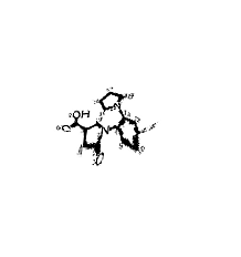 O=C(O)C1CC(=O)N(c2ccccc2N2CCCC2)C1